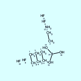 CC.CC.CC.CC.F.F.F.F.N.OB(O)O